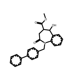 COC(=O)C1CC(=O)N(Cc2ccc(-c3ccccc3)cc2)c2ccccc2C1O